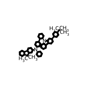 CC(C)(C)c1ccc(-c2ccc3c4ccccc4n(-c4ccccc4-c4ccc(N(c5ccccc5)c5ccc6c(c5)C(C)(C)c5ccccc5-6)cc4)c3c2)cc1